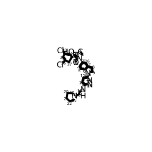 O=C(O)CN(c1ccc2c(ccn2-c2ccc(NCCN3CCCCC3)nn2)c1)S(=O)(=O)C1C=C(Cl)C=C(Cl)C1